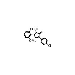 COc1cccc(C(=O)O)c1C1CC(=O)N(c2ccc(Cl)cc2)C1